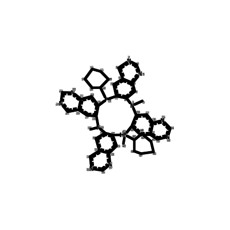 CN1c2cc3ncncc3cc2P(C2CCCCC2)c2cc3ncncc3cc2N(C)c2cc3cncnc3cc2[PH](C)(C2CCCCC2)c2cc3cncnc3cc21